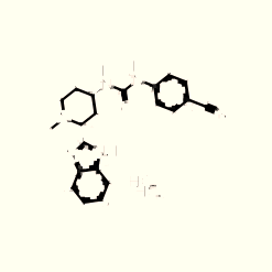 CN1CC[C@@H](NC(=O)Nc2ccc(C#N)cc2)C[C@@H]1c1nc2ccccc2[nH]1.Cl.Cl